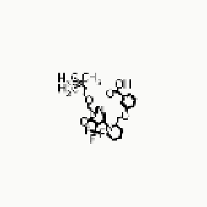 C[Si](C)(C)CCOCn1ncc(N2CCCCC2COc2cccc(C(=O)O)c2)c(C(F)(F)F)c1=O